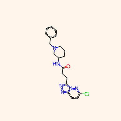 O=C(CCc1nnc2ccc(Cl)nn12)NC1CCCN(Cc2ccccc2)C1